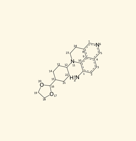 Nc1ccc2cncc3c2c1N(C1CCC(C2OCCO2)CC1)CC3